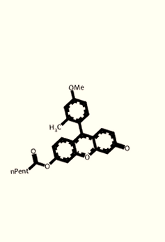 CCCCCC(=O)Oc1ccc2c(-c3ccc(OC)cc3C)c3ccc(=O)cc-3oc2c1